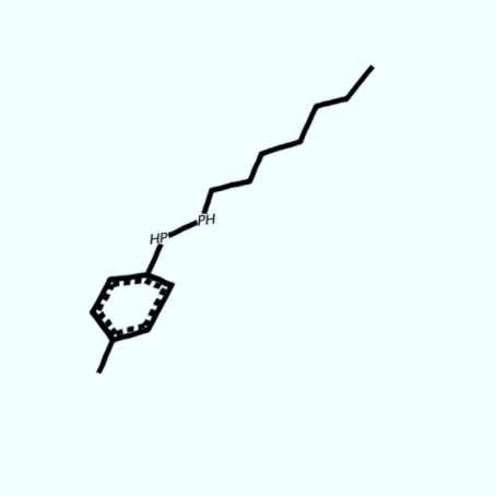 CCCCCCCPPc1ccc(C)cc1